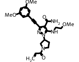 C=CC(=O)N1CCC(n2nc(C#Cc3cc(OC)cc(OC)c3)c(C(N)=O)c2NCCOC)C1